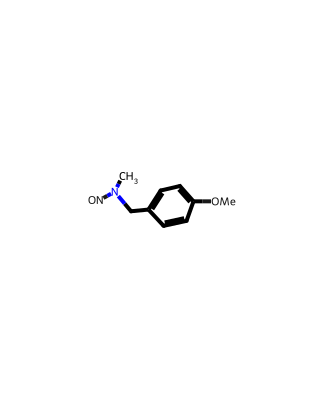 COc1ccc(CN(C)N=O)cc1